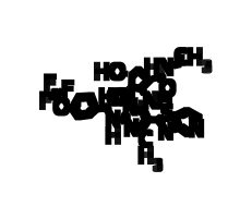 CCNC(=O)[C@@H]1C[C@@H](O)[C@@H](O)[C@@H]1Nc1nc(N[C@H](C)c2ccc(OC(F)(F)F)cc2)nc(C)c1-c1nc2cnccc2s1